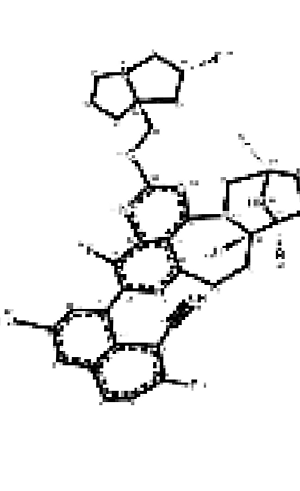 C#Cc1c(F)ccc2cc(O)cc(-c3nc4c5c(nc(OC[C@@]67CCCN6C[C@H](F)C7)nc5c3F)N3C[C@H]5CC[C@H](N5)[C@@H]3CC4)c12